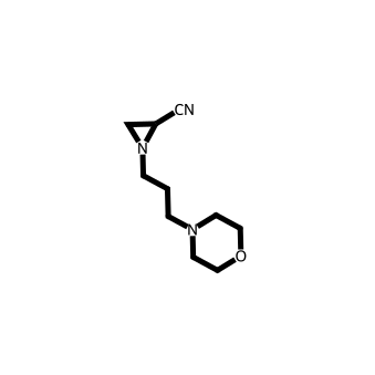 N#CC1CN1CCCN1CCOCC1